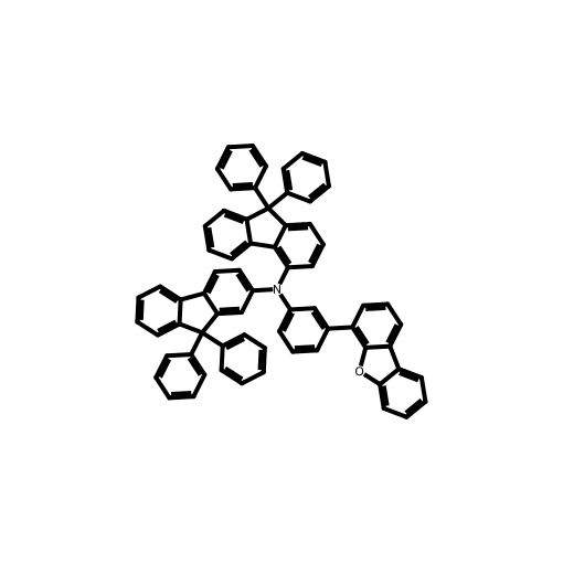 c1ccc(C2(c3ccccc3)c3ccccc3-c3ccc(N(c4cccc(-c5cccc6c5oc5ccccc56)c4)c4cccc5c4-c4ccccc4C5(c4ccccc4)c4ccccc4)cc32)cc1